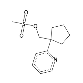 CS(=O)(=O)OCC1(c2ccccn2)CCCC1